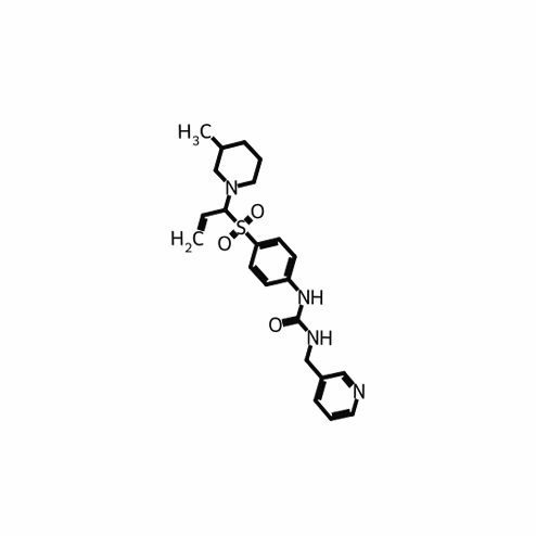 C=CC(N1CCCC(C)C1)S(=O)(=O)c1ccc(NC(=O)NCc2cccnc2)cc1